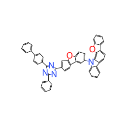 c1ccc(-c2ccc(-c3nc(-c4ccccc4)nc(-c4ccc5c(c4)oc4ccc(-n6c7ccccc7c7ccc8c9ccccc9oc8c76)cc45)n3)cc2)cc1